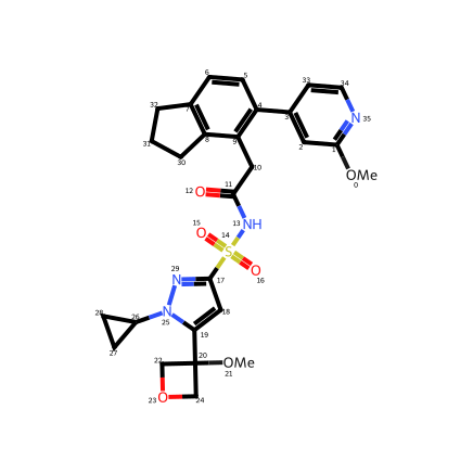 COc1cc(-c2ccc3c(c2CC(=O)NS(=O)(=O)c2cc(C4(OC)COC4)n(C4CC4)n2)CCC3)ccn1